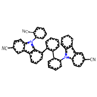 N#Cc1ccc2c(c1)c1ccccc1n2-c1ccccc1-c1ccccc1-c1cccc2c3cc(C#N)ccc3n(-c3ccccc3C#N)c12